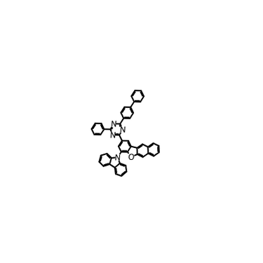 c1ccc(-c2ccc(-c3nc(-c4ccccc4)nc(-c4cc(-n5c6ccccc6c6ccccc65)c5oc6cc7ccccc7cc6c5c4)n3)cc2)cc1